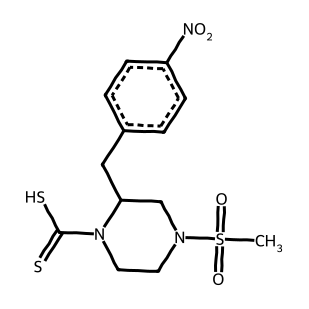 CS(=O)(=O)N1CCN(C(=S)S)C(Cc2ccc([N+](=O)[O-])cc2)C1